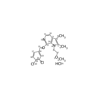 COCCn1c(C)c(C)c2ccnc(OCc3ccc(Cl)c(Cl)c3)c21.Cl